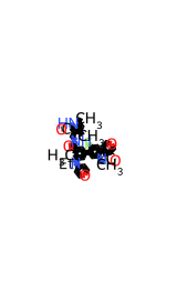 CCN(c1cc(-c2cc3c(cc2F)C2(CCOCC2)C(=C=O)N3C)cc(C(=O)NCC2=C(C)C=C(C)NC2=C=O)c1C)C1CCOCC1